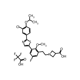 COc1c(CCN2CC(C(=O)O)C2)cc(F)cc1-c1cnc(-c2ccc(OC(C)C)c(Cl)c2)s1.O=C(O)C(F)(F)F